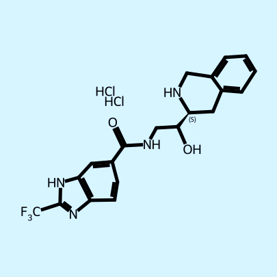 Cl.Cl.O=C(NCC(O)[C@@H]1Cc2ccccc2CN1)c1ccc2nc(C(F)(F)F)[nH]c2c1